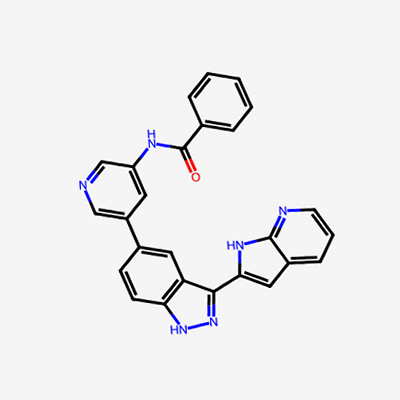 O=C(Nc1cncc(-c2ccc3[nH]nc(-c4cc5cccnc5[nH]4)c3c2)c1)c1ccccc1